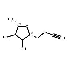 C#CSC[C@H]1O[C@@H](C)C(O)C1O